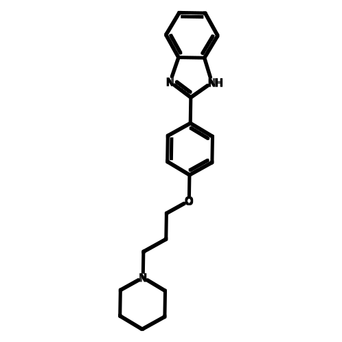 c1ccc2[nH]c(-c3ccc(OCCCN4CCCCC4)cc3)nc2c1